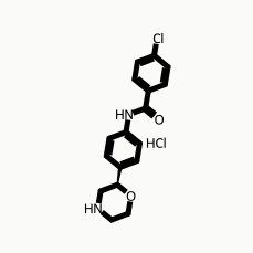 Cl.O=C(Nc1ccc([C@@H]2CNCCO2)cc1)c1ccc(Cl)cc1